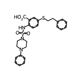 O=C(O)c1cc(SCCc2ccccc2)ccc1NS(=O)(=O)N1CCN(c2ccccc2)CC1